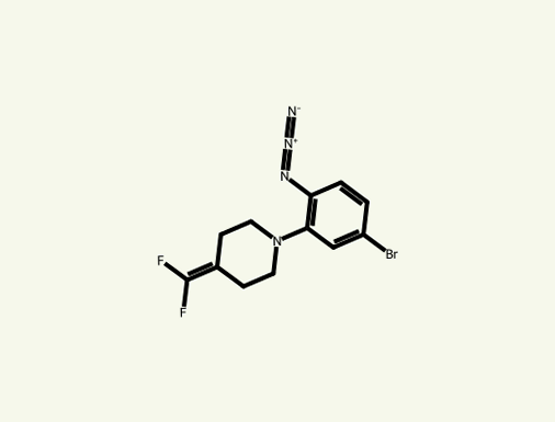 [N-]=[N+]=Nc1ccc(Br)cc1N1CCC(=C(F)F)CC1